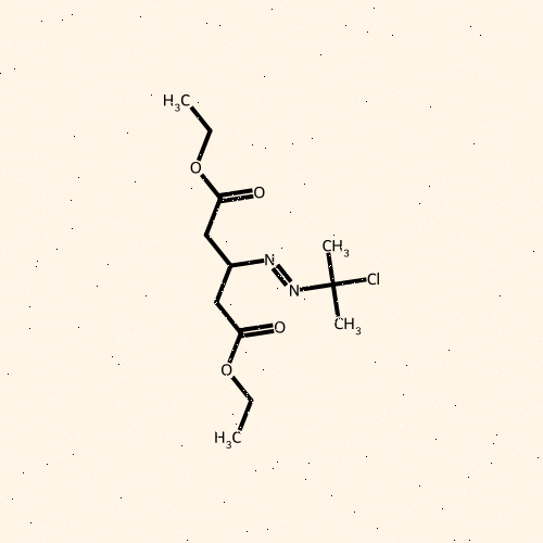 CCOC(=O)CC(CC(=O)OCC)N=NC(C)(C)Cl